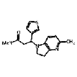 CNC(=O)CC(c1ccsc1)N1CCc2nc(C)ccc21